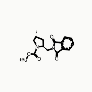 C[C@@H]1C[C@@H](CN2C(=O)c3ccccc3C2=O)N(C(=O)OC(C)(C)C)C1